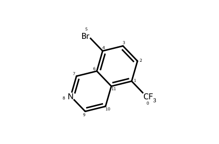 FC(F)(F)c1ccc(Br)c2cnccc12